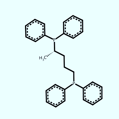 C[C@@H](CCCP(c1ccccc1)c1ccccc1)P(c1ccccc1)c1ccccc1